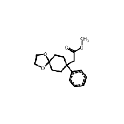 COC(=O)CC1(c2ccccc2)CCC2(CC1)OCCO2